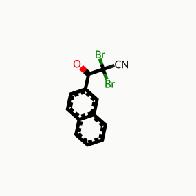 N#CC(Br)(Br)C(=O)c1ccc2ccccc2c1